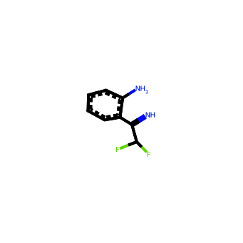 N=C(c1ccccc1N)C(F)F